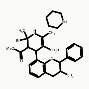 C1CCNCC1.CCC1(C)NC(C)=C(C(=O)O)C(c2cccc3c2OC(c2ccccc2)C(C)C3)C1C(=O)OC